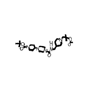 CC(=O)OC(C)(C)CN1CCC(CNC(=O)N2CCN(C3CCN(C(=O)OC(C)(C)C)CC3)CC2)CC1